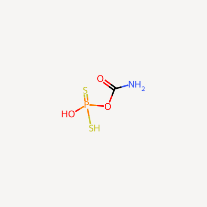 NC(=O)OP(O)(=S)S